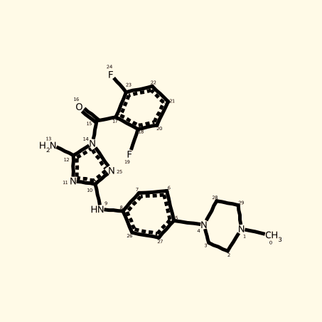 CN1CCN(c2ccc(Nc3nc(N)n(C(=O)c4c(F)cccc4F)n3)cc2)CC1